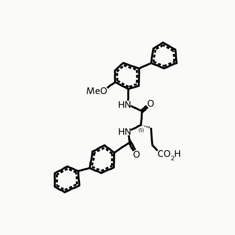 COc1ccc(-c2ccccc2)cc1NC(=O)[C@H](CCC(=O)O)NC(=O)c1ccc(-c2ccccc2)cc1